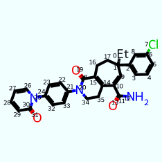 CCC1(c2cccc(Cl)c2)C=C(C(N)=O)C2=C(CC1)C(=O)N(c1ccc(-n3ccccc3=O)cc1)CC2